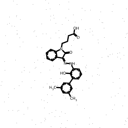 Cc1cc(C)cc(-c2cccc(N/N=C3\C(=O)N(CCCC(=O)O)c4ccccc43)c2O)c1